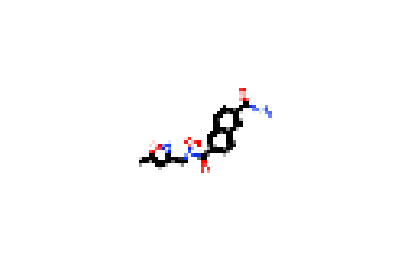 Cc1cc(CN(O)C(=O)c2ccc3cc(C(N)=O)ccc3c2)no1